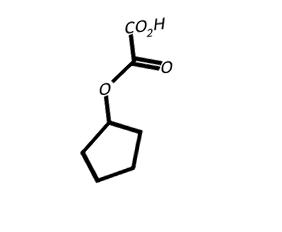 O=C(O)C(=O)OC1CCCC1